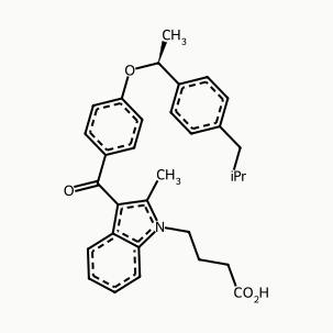 Cc1c(C(=O)c2ccc(O[C@@H](C)c3ccc(CC(C)C)cc3)cc2)c2ccccc2n1CCCC(=O)O